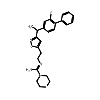 CC(c1ccc(-c2ccccc2)c(F)c1)c1cc(CC/N=C(\N)N2CCOCC2)on1